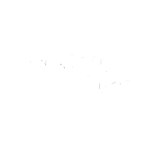 C=C(OC(F)(F)C(F)(F)C(F)(F)C(F)(F)N1CCN(C(F)(F)F)CC1)C(F)(F)F